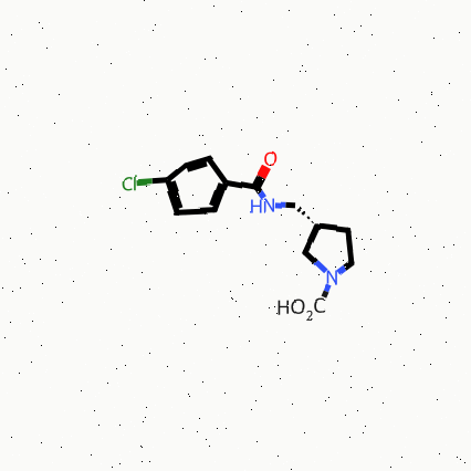 O=C(NC[C@@H]1CCN(C(=O)O)C1)c1ccc(Cl)cc1